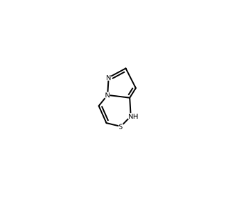 C1=Cn2nccc2NS1